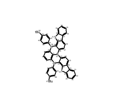 CC(C)(C)c1ccc(N2c3cccc4c3B(c3ccc5c(sc6ccccc65)c32)c2ccc3c(sc5ccccc53)c2N4c2ccc(C(C)(C)C)cc2)cc1